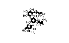 CN[C@H]1/C(=C\O)CO[C@H](O[C@H]2[C@H](NC(=O)C3(O)CC3N)C[C@H](N)C(O[C@H]3O[C@H](CNCC(N)CO)[C@@H](O)[C@H](O)[C@H]3O)[C@@H]2O)[C@@H]1O